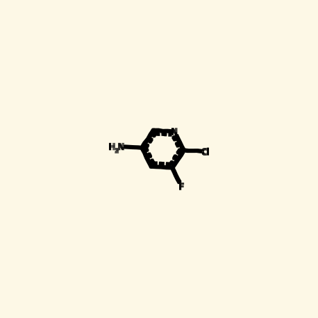 Nc1cnc(Cl)c(F)c1